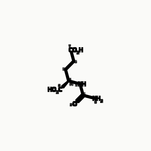 NC(=O)N[C@H](CCC(=O)O)C(=O)O